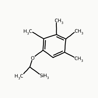 Cc1cc(OC(C)[SiH3])c(C)c(C)c1C